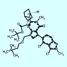 Cn1nc2ccc(-c3cn(COCC[Si](C)(C)C)c4nc(N5C6CC[C@H]5C[C@@H]6NC(=O)OC(C)(C)C)n(C)c(=O)c34)c(Cl)c2c1Cl